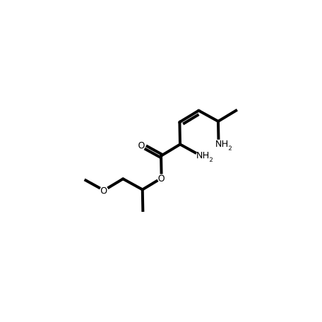 COCC(C)OC(=O)C(N)/C=C\C(C)N